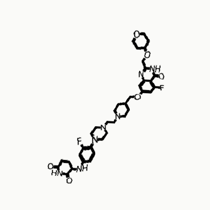 O=C1CCC(Nc2ccc(N3CCN(CCN4CCC(COc5cc(F)c6c(=O)[nH]c(COC7CCOCC7)nc6c5)CC4)CC3)c(F)c2)C(=O)N1